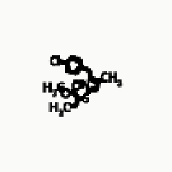 CCC(Sc1cc(C)c(Cc2ccc(Cl)cc2)[nH]1)C(=O)OC